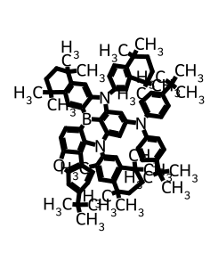 Cc1cc2c(cc1N1c3cc(N(c4ccc(C(C)(C)C)cc4)c4ccc(C(C)(C)C)cc4)cc4c3B(c3cc5c(cc3N4c3ccc4c(c3)C(C)(C)CCC4(C)C)C(C)(C)CCC5(C)C)c3ccc4oc5cc(C(C)(C)C)ccc5c4c31)C(C)(C)CCC2(C)C